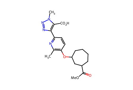 COC(=O)C1CCCCC(Oc2ccc(-c3nnn(C)c3C(=O)O)nc2C)C1